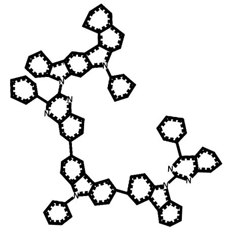 c1ccc(-c2nc3cc(-c4ccc5c(c4)c4cc(-c6ccc7c(c6)c6ccccc6n7-c6nc(-c7ccccc7)c7ccccc7n6)ccc4n5-c4ccccc4)ccc3nc2-n2c3ccccc3c3cc4c5c6ccccc6ccc5n(-c5ccccc5)c4cc32)cc1